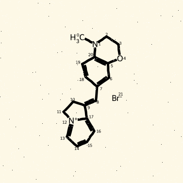 CN1CCOc2cc(C=C3CC[n+]4ccccc43)ccc21.[Br-]